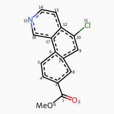 COC(=O)c1ccc2c(c1)cc(Cl)c1ccncc12